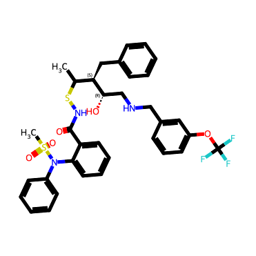 CC(SNC(=O)c1ccccc1N(c1ccccc1)S(C)(=O)=O)[C@@H](Cc1ccccc1)[C@@H](O)CNCc1cccc(OC(F)(F)F)c1